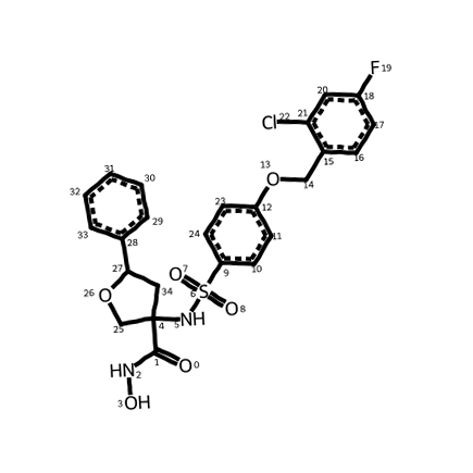 O=C(NO)C1(NS(=O)(=O)c2ccc(OCc3ccc(F)cc3Cl)cc2)COC(c2ccccc2)C1